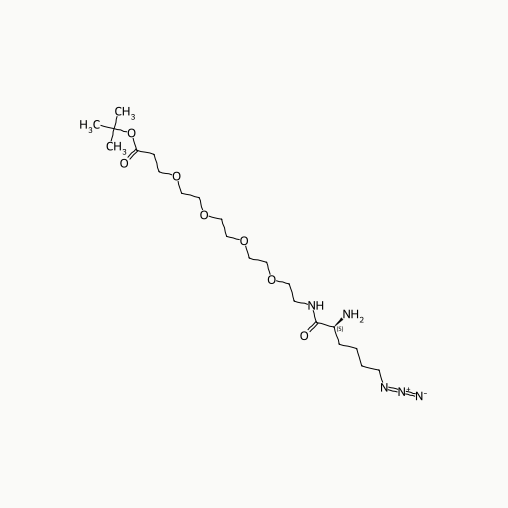 CC(C)(C)OC(=O)CCOCCOCCOCCOCCNC(=O)[C@@H](N)CCCCN=[N+]=[N-]